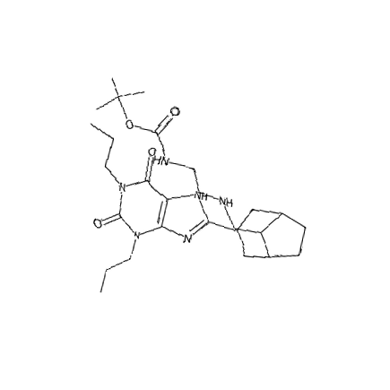 CCCn1c(=O)c2[nH]c(C3CC4CCC(C3)C4CNCCNC(=O)OC(C)(C)C)nc2n(CCC)c1=O